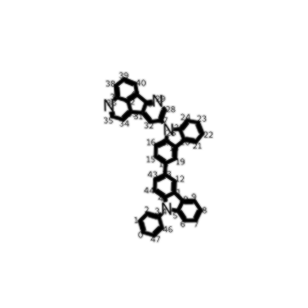 c1ccc(-n2c3ccccc3c3cc(-c4ccc5c(c4)c4ccccc4n5-c4cnc5c(c4)-c4ccnc6cccc-5c46)ccc32)cc1